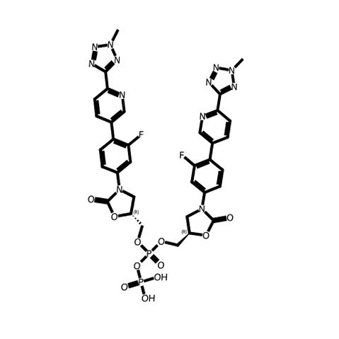 Cn1nnc(-c2ccc(-c3ccc(N4C[C@H](COP(=O)(OC[C@H]5CN(c6ccc(-c7ccc(-c8nnn(C)n8)nc7)c(F)c6)C(=O)O5)OP(=O)(O)O)OC4=O)cc3F)cn2)n1